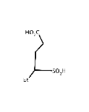 CCC(CCC(=O)O)S(=O)(=O)O